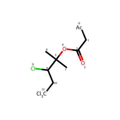 CC(=O)CC(=O)OC(C)(C)C(Cl)CC(Cl)(Cl)Cl